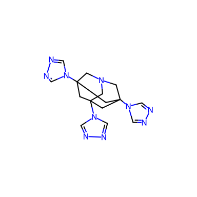 c1nncn1C12CN3CC(n4cnnc4)(C1)CC(n1cnnc1)(C3)C2